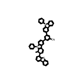 CC1c2c(c3cc(-c4cc(C#N)cc(-c5ccc6c(c5)c5ccccc5n6-c5ccccc5)c4)ccc3n2-c2ccccc2)C=CC1c1cccc2c1sc1ccccc12